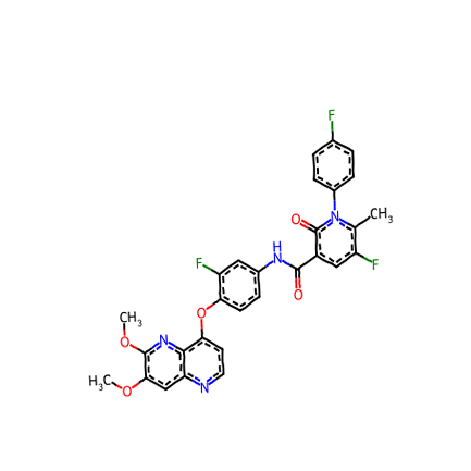 COc1cc2nccc(Oc3ccc(NC(=O)c4cc(F)c(C)n(-c5ccc(F)cc5)c4=O)cc3F)c2nc1OC